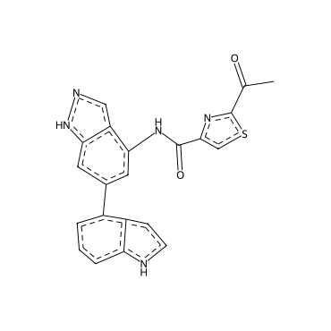 CC(=O)c1nc(C(=O)Nc2cc(-c3cccc4[nH]ccc34)cc3[nH]ncc23)cs1